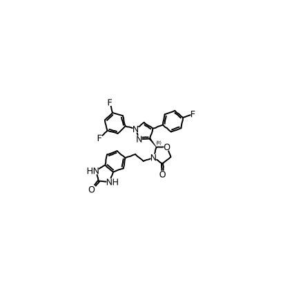 O=C1CO[C@H](c2nn(-c3cc(F)cc(F)c3)cc2-c2ccc(F)cc2)N1CCc1ccc2[nH]c(=O)[nH]c2c1